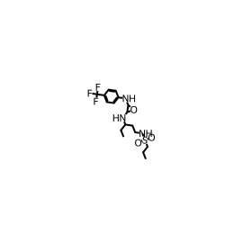 CCCS(=O)(=O)NCCC(CC)NC1OC1Nc1ccc(C(F)(F)F)cc1